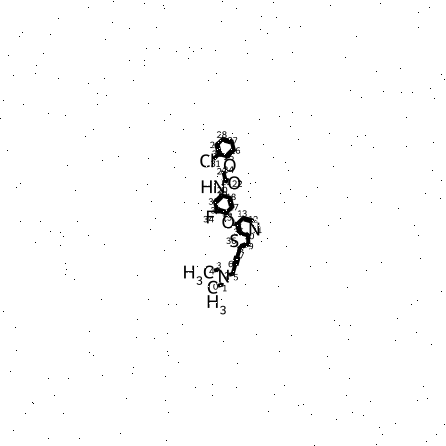 CCN(CC)CC#Cc1cc2nccc(Oc3ccc(NC(=O)COc4ccccc4Cl)cc3F)c2s1